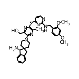 COc1ccc(CNc2nccc(Sc3nc(CO)c(N4CCC5(CC4)Cc4ccccc4[C@H]5N)nc3C)n2)c(OC)c1